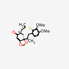 C=CC[C@H]1C[C@]2([C@@H](C)Cc3ccc(OC)c(OC)c3F)OCOC2=CC1=O